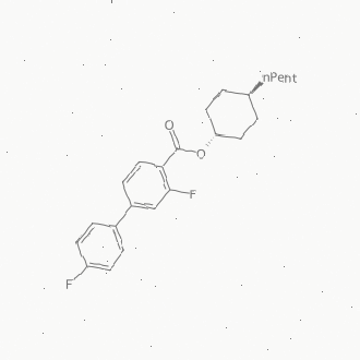 CCCCC[C@H]1CC[C@H](OC(=O)c2ccc(-c3ccc(F)cc3)cc2F)CC1